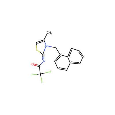 Cc1cs/c(=N\C(=O)C(F)(F)F)n1Cc1cccc2ccccc12